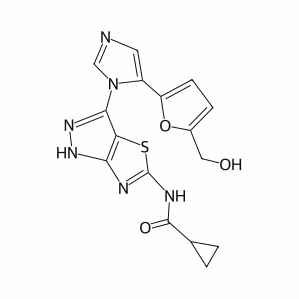 O=C(Nc1nc2[nH]nc(-n3cncc3-c3ccc(CO)o3)c2s1)C1CC1